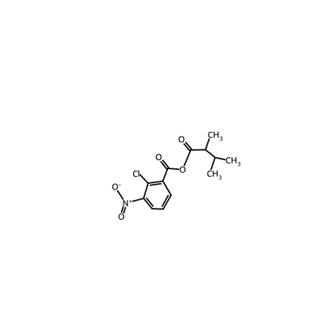 CC(C)C(C)C(=O)OC(=O)c1cccc([N+](=O)[O-])c1Cl